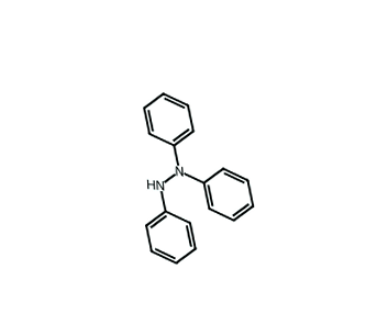 c1ccc(NN(c2ccccc2)c2ccccc2)cc1